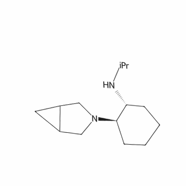 CC(C)N[C@@H]1CCCC[C@H]1N1CC2CC2C1